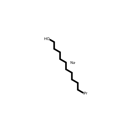 CC(C)CCCCCCCCCCO.[Na]